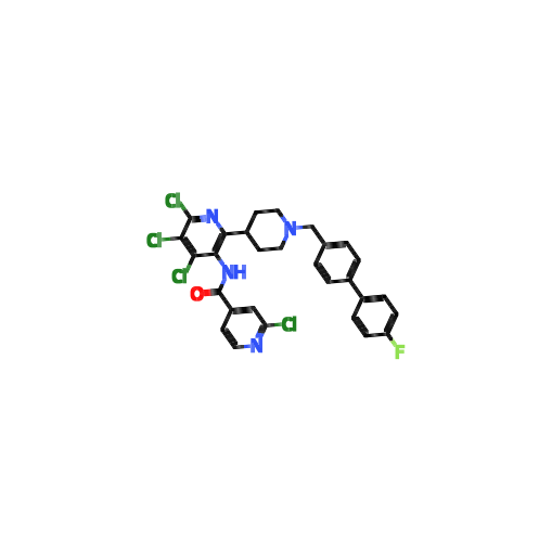 O=C(Nc1c(C2CCN(Cc3ccc(-c4ccc(F)cc4)cc3)CC2)nc(Cl)c(Cl)c1Cl)c1ccnc(Cl)c1